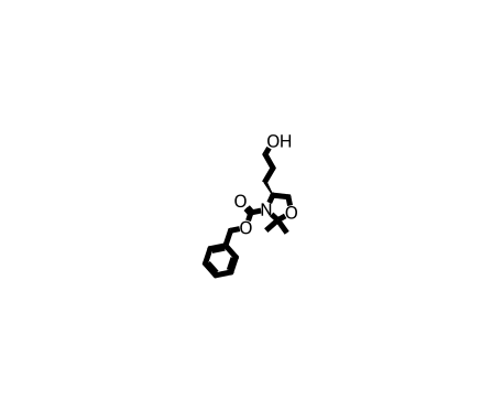 CC1(C)OC[C@H](CCCO)N1C(=O)OCc1ccccc1